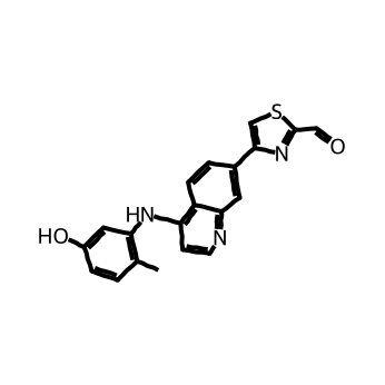 Cc1ccc(O)cc1Nc1ccnc2cc(-c3csc(C=O)n3)ccc12